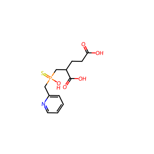 O=C(O)CCC(CP(O)(=S)Cc1ccccn1)C(=O)O